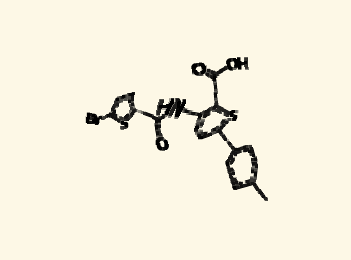 Cc1ccc(-c2cc(NC(=O)c3ccc(Br)s3)c(C(=O)O)s2)cc1